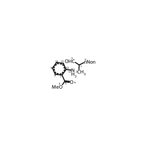 CCCCCCCCCC(C)C=O.COC(=O)c1ccccc1N